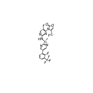 C[C@H](F)c1coc(=O)n1-c1nc(N[C@@H](C)c2ncc(-c3cccc(C(F)(F)F)c3F)cn2)ncc1F